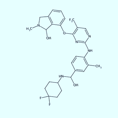 Cc1cc(C(O)NC2CCC(F)(F)CC2)ccc1Nc1ncc(C(F)(F)F)c(Oc2cccc3c2C(O)N(C)C3)n1